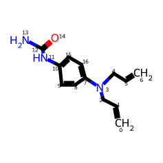 C=CCN(CC=C)c1ccc(NC(N)=O)cc1